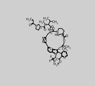 C=CC(=O)N1CC[C@H](C(=O)N(C)C(C(=O)N[C@H]2Cc3nnc(o3)-c3ccc4c(c3)c(c(-c3cccnc3[C@H](C)OC)n4CC(F)(F)F)CC(C)(C)COC(=O)[C@@H]3CCCN(N3)C2=O)C(C)C)C1